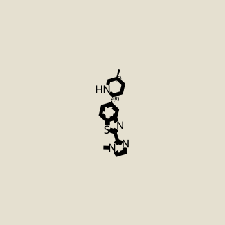 C[C@H]1CC[C@H](c2ccc3sc(-c4nccn4C)nc3c2)NC1